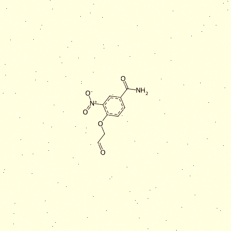 NC(=O)c1ccc(OCC=O)c([N+](=O)[O-])c1